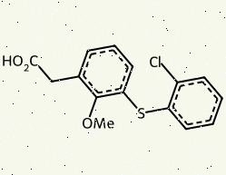 COc1c(CC(=O)O)cccc1Sc1ccccc1Cl